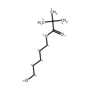 CC(C)(C)C(=O)OCCCCC[O]